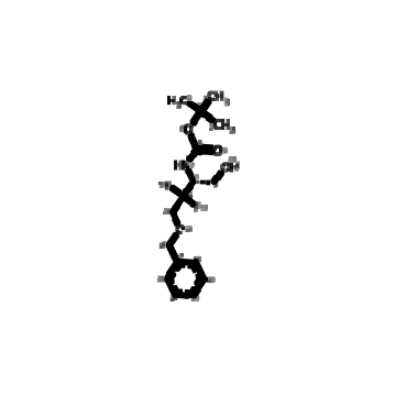 CC(C)(C)OC(=O)N[C@H](CO)C(F)(F)COCc1ccccc1